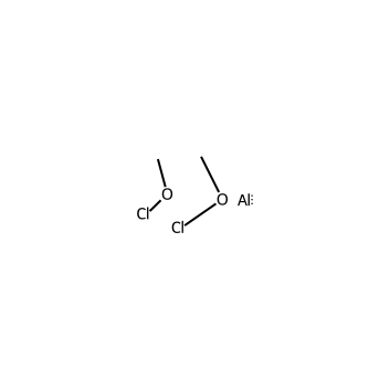 COCl.COCl.[Al]